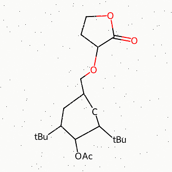 CC(=O)OC1C(C(C)(C)C)CC(COC2CCOC2=O)CC1C(C)(C)C